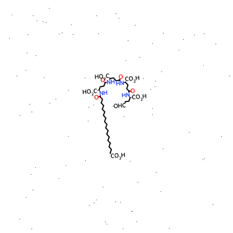 O=[C]CC[C@H](NC(=O)CC[C@H](NC(=O)CC[C@H](NC(=O)CC[C@H](NC(=O)CCCCCCCCCCCCCCCCCCC(=O)O)C(=O)O)C(=O)O)C(=O)O)C(=O)O